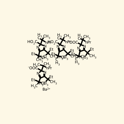 CCCC(C)(C)C1(C(=O)O)N=C(C(C)(C)CC)C(C(C)(C)CC)=N1.CCCC(C)(C)C1(C(=O)O)N=C(C(C)(C)CC)C(C(C)(C)CC)=N1.CCCC(C)(C)C1(C(=O)[O-])N=C(C(C)(C)CC)C(C(C)(C)CC)=N1.CCCC(C)(C)C1(C(=O)[O-])N=C(C(C)(C)CC)C(C(C)(C)CC)=N1.[Ba+2]